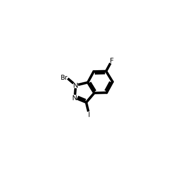 Fc1ccc2c(I)nn(Br)c2c1